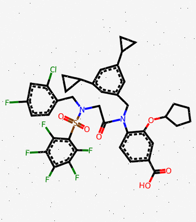 O=C(O)c1ccc(N(Cc2cc(C3CC3)cc(C3CC3)c2)C(=O)CN(Cc2ccc(F)cc2Cl)S(=O)(=O)c2c(F)c(F)c(F)c(F)c2F)c(OC2CCCC2)c1